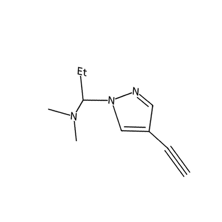 C#Cc1cnn(C(CC)N(C)C)c1